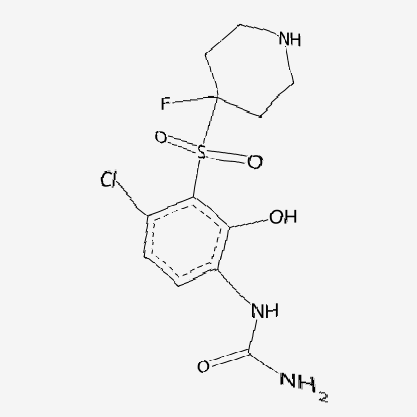 NC(=O)Nc1ccc(Cl)c(S(=O)(=O)C2(F)CCNCC2)c1O